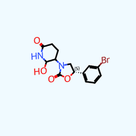 O=C1CCC(N2C[C@H](c3cccc(Br)c3)OC2=O)C(O)N1